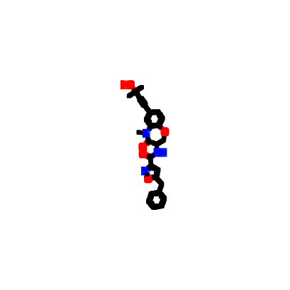 CN1C(=O)[C@H](NC(=O)c2cc(Cc3ccccc3)on2)COc2ccc(C#CC(C)(C)O)cc21